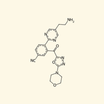 N#Cc1ccc(-c2ncc(CCN)cn2)c(C(=O)c2nnc(N3CCOCC3)o2)c1